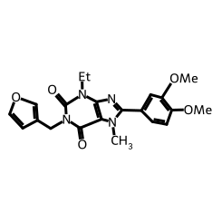 CCn1c(=O)n(Cc2ccoc2)c(=O)c2c1nc(-c1ccc(OC)c(OC)c1)n2C